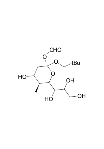 C[C@H]1C(O)C[C@@](OC=O)(OCC(C)(C)C)OC1C(O)C(O)CO